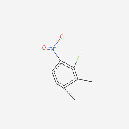 Cc1ccc([N+](=O)[O-])c(F)c1C